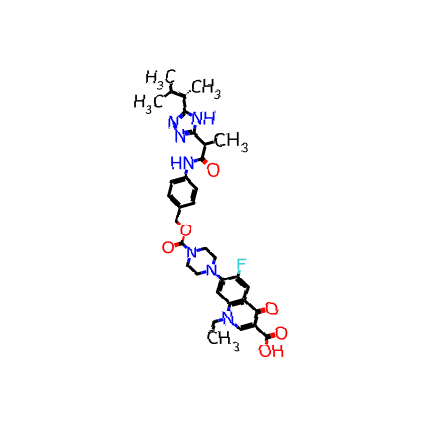 CCn1cc(C(=O)O)c(=O)c2cc(F)c(N3CCN(C(=O)OCc4ccc(NC(=O)C(C)c5nnc([C@@H](C)C(C)C)[nH]5)cc4)CC3)cc21